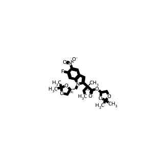 CC[C@](C)(C(=O)OC1COC(C)(C)O1)c1cc2cc([N+](=O)[O-])c(F)cc2n1C[C@@H]1COC(C)(C)O1